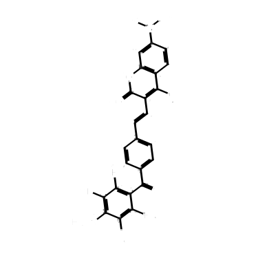 CCCN(CCC)c1ccc2c(C)c(/C=C/c3ccc(C(=O)c4c(F)c(F)c(S(=O)(=O)O)c(F)c4F)cc3)c(=O)oc2c1